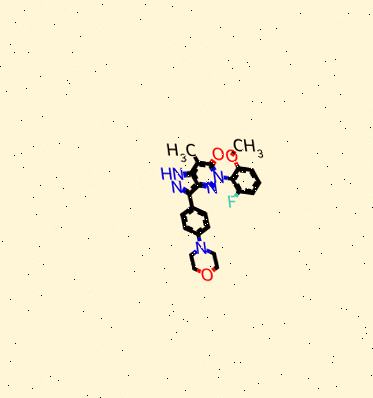 COc1cccc(F)c1-n1nc2c(-c3ccc(N4CCOCC4)cc3)n[nH]c2c(C)c1=O